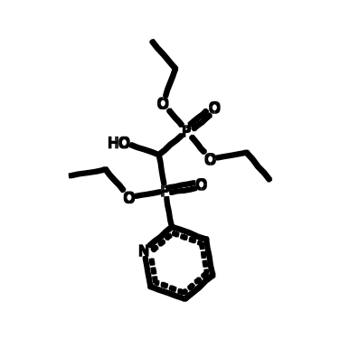 CCOP(=O)(OCC)C(O)P(=O)(OCC)c1ccccn1